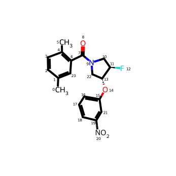 Cc1ccc(C)c(C(=O)N2C[C@@H](F)[C@H](Oc3cccc([N+](=O)[O-])c3)C2)c1